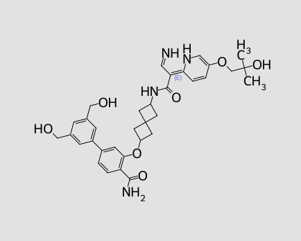 CC(C)(O)COC1=CN/C(=C(\C=N)C(=O)NC2CC3(C2)CC(Oc2cc(-c4cc(CO)cc(CO)c4)ccc2C(N)=O)C3)C=C1